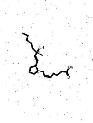 CCCCC[C@](C)(O)/C=C/C1CCC[C@@H]1C/C=C\CCCC(=O)O